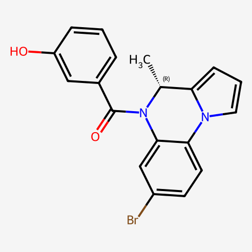 C[C@@H]1c2cccn2-c2ccc(Br)cc2N1C(=O)c1cccc(O)c1